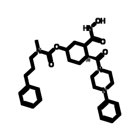 CN(CCCc1ccccc1)C(=O)OC1CC[C@H](C(=O)N2CCN(c3ccccc3)CC2)C(C(=O)NO)C1